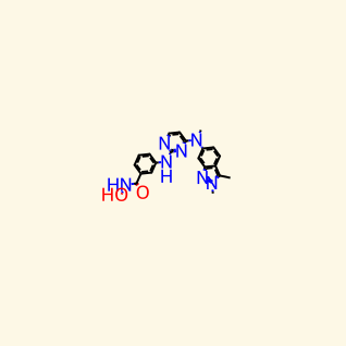 Cc1c2ccc(N(C)c3ccnc(Nc4cccc(C(=O)NO)c4)n3)cc2nn1C